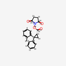 Cc1ccccc1[C@]1(c2ccccc2)C[C@H]1C(=O)ON1C(=O)CCC1=O